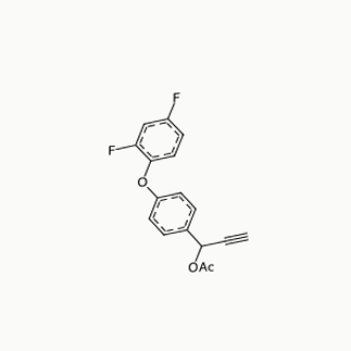 C#CC(OC(C)=O)c1ccc(Oc2ccc(F)cc2F)cc1